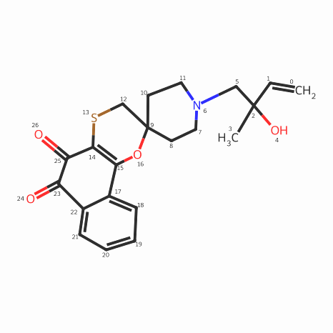 C=CC(C)(O)CN1CCC2(CC1)CSC1=C(O2)c2ccccc2C(=O)C1=O